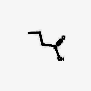 CCC[Si](=O)O